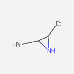 CCCC1NC1CC